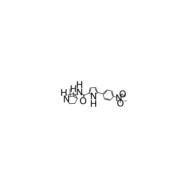 C[C@H]1[C@H](NC(=O)c2ccc(-c3ccc([N+](=O)[O-])cc3)[nH]2)C2CCN1CC2